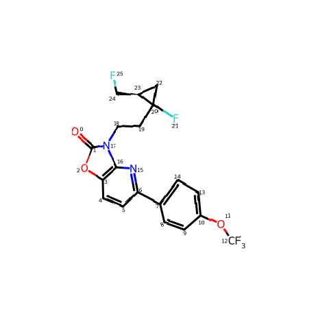 O=c1oc2ccc(-c3ccc(OC(F)(F)F)cc3)nc2n1CCC1(F)C[C@@H]1CF